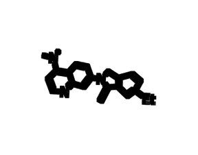 C=C1c2cc(CC)ccc2CN1c1ccc2c(N(C)C)ccnc2c1